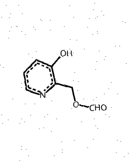 O=COCc1ncccc1O